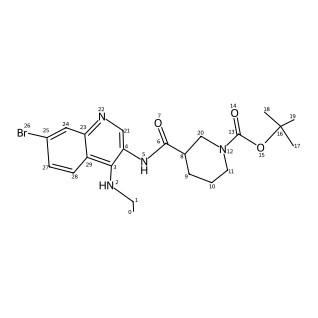 CCNc1c(NC(=O)C2CCCN(C(=O)OC(C)(C)C)C2)cnc2cc(Br)ccc12